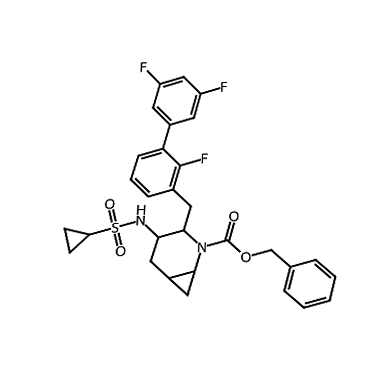 O=C(OCc1ccccc1)N1C2CC2CC(NS(=O)(=O)C2CC2)C1Cc1cccc(-c2cc(F)cc(F)c2)c1F